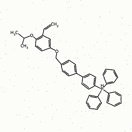 C=Cc1cc(OCc2ccc(-c3ccc([PH](c4ccccc4)(c4ccccc4)c4ccccc4)cc3)cc2)ccc1OC(C)C